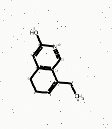 CCC1=CCCc2cc(O)ncc21